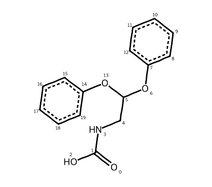 O=C(O)NCC(Oc1ccccc1)Oc1ccccc1